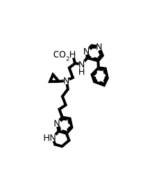 O=C(O)C(CCN(CCCCc1ccc2c(n1)NCCC2)C1CC1)Nc1ncncc1-c1ccccc1